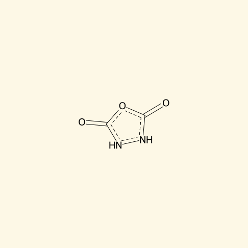 O=c1[nH][nH]c(=O)o1